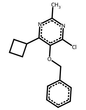 Cc1nc(Cl)c(OCc2ccccc2)c(C2CCC2)n1